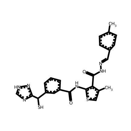 Cc1ccc(/C=N/NC(=O)c2c(C)csc2NC(=O)c2cccc(C(S)c3nc[nH]n3)c2)cc1